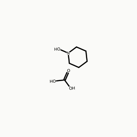 O=C(O)O.ON1CCCCC1